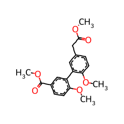 COC(=O)Cc1ccc(OC)c(-c2cc(C(=O)OC)ccc2OC)c1